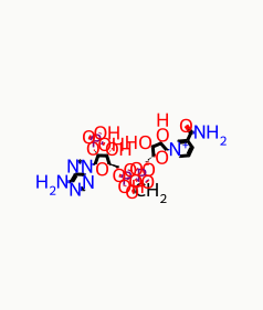 C=O.NC(=O)c1ccc[n+]([C@@H]2O[C@H](COP(=O)([O-])OP(=O)(O)OC[C@H]3O[C@@H](n4cnc5c(N)ncnc54)[C@H](OP(=O)(O)O)[C@@H]3O)[C@@H](O)[C@H]2O)c1